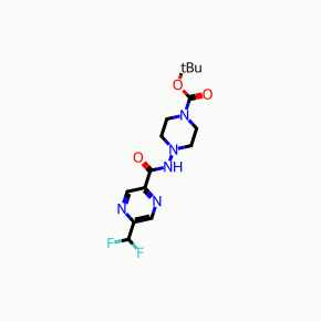 CC(C)(C)OC(=O)N1CCN(NC(=O)c2cnc(C(F)F)cn2)CC1